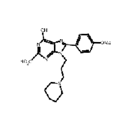 COc1ccc(-c2nc3c(O)nc(C(=O)O)nc3n2CCCN2CCCCC2)cc1